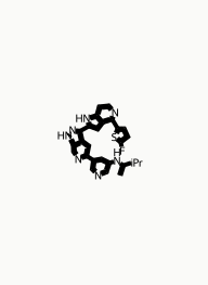 C=C(Nc1cncc(-c2cc3c(-c4cc5c(-c6ccc(F)s6)nccc5[nH]4)n[nH]c3cn2)c1)C(C)C